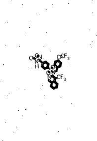 O=c1[nH]c(-c2ccc(S(=O)(=O)N(Cc3ccc(OC(F)(F)F)cc3)c3ncc4ccccc4c3C(F)(F)F)cc2)no1